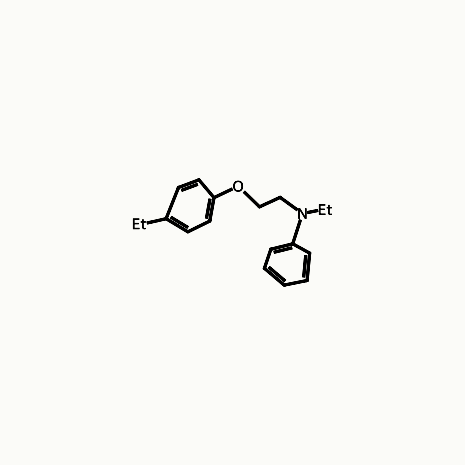 CCc1ccc(OCCN(CC)c2ccccc2)cc1